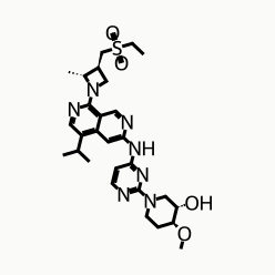 CCS(=O)(=O)C[C@H]1CN(c2ncc(C(C)C)c3cc(Nc4ccnc(N5CC[C@H](OC)[C@@H](O)C5)n4)ncc23)[C@@H]1C